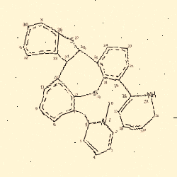 CN1C=CC=CC1c1cccc2c1Sc1c(C3=CC=CCN3)cccc1C1Sc3ccccc3C21